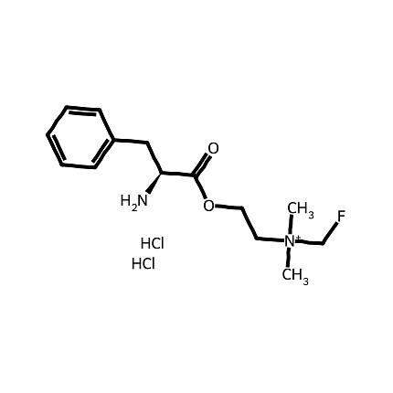 C[N+](C)(CF)CCOC(=O)[C@@H](N)Cc1ccccc1.Cl.Cl